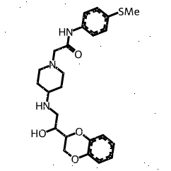 CSc1ccc(NC(=O)CN2CCC(NCC(O)C3COc4ccccc4O3)CC2)cc1